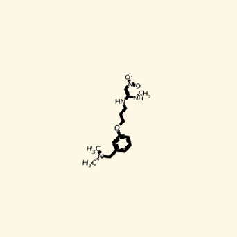 CNC(=C[N+](=O)[O-])NCCCOc1cccc(CN(C)C)c1